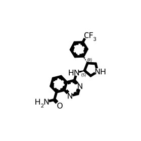 NC(=O)c1cccc2c(N[C@@H]3CNC[C@H]3c3cccc(C(F)(F)F)c3)ncnc12